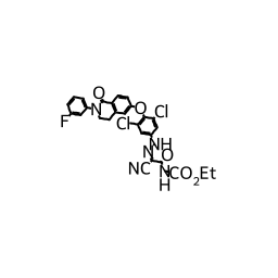 CCOC(=O)NC(=O)C(C#N)=NNc1cc(Cl)c(Oc2ccc3c(c2)CCN(c2cccc(F)c2)C3=O)c(Cl)c1